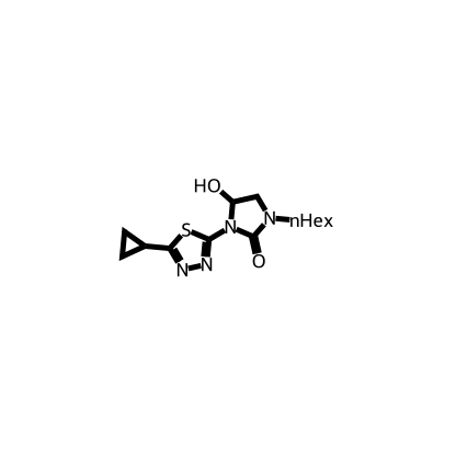 CCCCCCN1CC(O)N(c2nnc(C3CC3)s2)C1=O